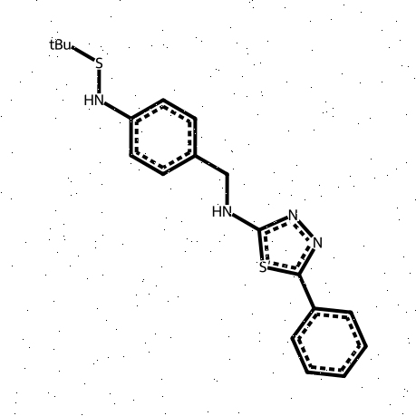 CC(C)(C)SNc1ccc(CNc2nnc(-c3ccccc3)s2)cc1